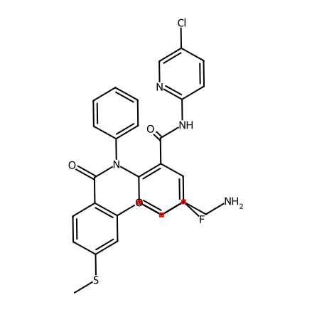 CSc1ccc(C(=O)N(c2ccccc2)c2ccc(F)cc2C(=O)Nc2ccc(Cl)cn2)c(OCCCN)c1